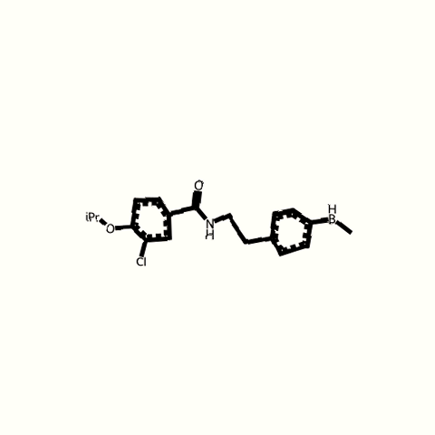 CBc1ccc(CCNC(=O)c2ccc(OC(C)C)c(Cl)c2)cc1